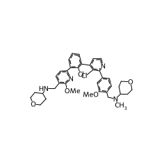 COc1cc(-c2nccc(-c3cccc(-c4ccc(CNC5CCOCC5)c(OC)n4)c3Cl)c2Cl)ccc1CN(C)C1CCOCC1